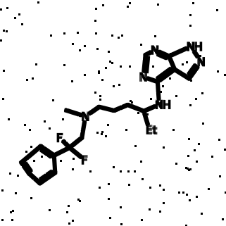 CCC(CCCN(C)CC(F)(F)c1ccccc1)Nc1ncnc2[nH]ncc12